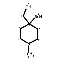 CN1CC[C]([SnH])(CO)CC1